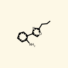 CCCc1nc(-c2ccccc2N)co1